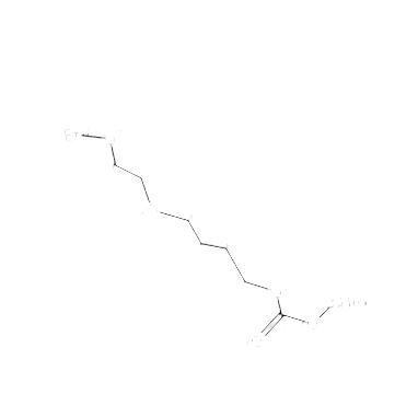 CCCCCCOC(=O)OCCCCOCCOCC